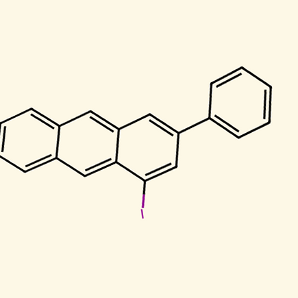 Ic1cc(-c2ccccc2)cc2cc3ccccc3cc12